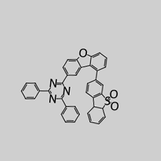 O=S1(=O)c2cc(-c3cccc4oc5ccc(-c6nc(-c7ccccc7)nc(-c7ccccc7)n6)cc5c34)ccc2C2C=CC=CC21